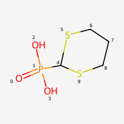 O=P(O)(O)C1SCCCS1